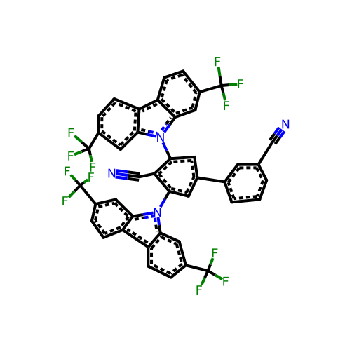 N#Cc1cccc(-c2cc(-n3c4cc(C(F)(F)F)ccc4c4ccc(C(F)(F)F)cc43)c(C#N)c(-n3c4cc(C(F)(F)F)ccc4c4ccc(C(F)(F)F)cc43)c2)c1